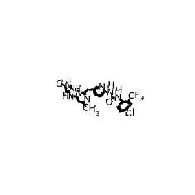 Cc1cc(Nc2cc(Cl)n[nH]2)nc(Cc2ccc(NC(=O)Nc3ccc(Cl)cc3C(F)(F)F)nc2)n1